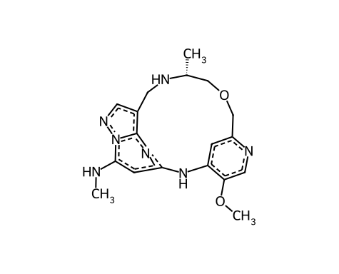 CNc1cc2nc3c(cnn13)CN[C@H](C)COCc1cc(c(OC)cn1)N2